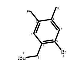 Cc1cc(Br)c(CC(C)(C)C)cc1C